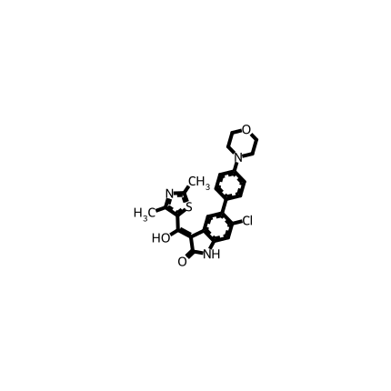 Cc1nc(C)c(/C(O)=C2/C(=O)Nc3cc(Cl)c(-c4ccc(N5CCOCC5)cc4)cc32)s1